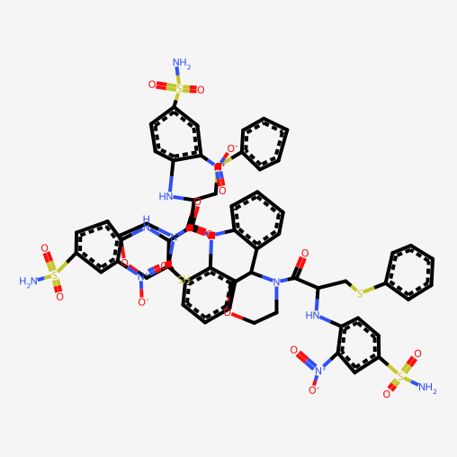 NS(=O)(=O)c1ccc(NC(CS)C(=O)N(c2ccccc2C2COCCN2C(=O)C(CSc2ccccc2)Nc2ccc(S(N)(=O)=O)cc2[N+](=O)[O-])c2ccccc2C2COCCN2C(=O)C(CSc2ccccc2)Nc2ccc(S(N)(=O)=O)cc2[N+](=O)[O-])c([N+](=O)[O-])c1